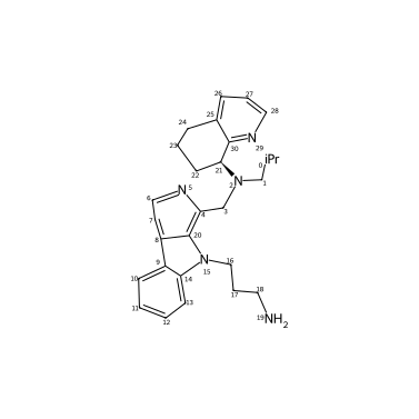 CC(C)CN(Cc1nccc2c3ccccc3n(CCCN)c12)[C@H]1CCCc2cccnc21